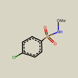 CONS(=O)(=O)c1ccc(Cl)cc1